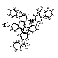 CC(C)(C)c1ccc(N2B3c4cc5c(cc4-n4c6cc7c(cc6c6ccc(c3c64)-c3cc4c(cc32)-c2ccccc2C4(C)C)-c2ccccc2C7(C)C)sc2ccccc25)cc1